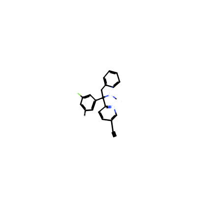 C#Cc1ccc(C(Cc2ccccc2)(NC(=O)OCC)c2cc(F)cc(C(F)(F)F)c2)nc1